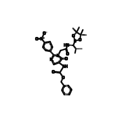 CC(C)C(NC(=O)Cn1c(-c2ccc([N+](=O)[O-])cc2)ncc(NC(=O)OCc2ccccc2)c1=O)B1OC(C)(C)C(C)(C)O1